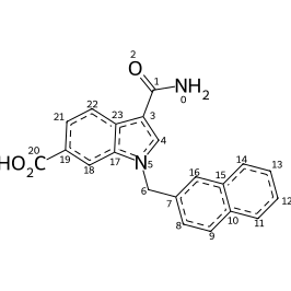 NC(=O)c1cn(Cc2ccc3ccccc3c2)c2cc(C(=O)O)ccc12